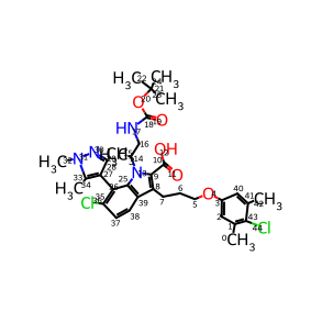 Cc1cc(OCCCc2c(C(=O)O)n(C(C)CNC(=O)OC(C)(C)C)c3c(-c4c(C)nn(C)c4C)c(Cl)ccc23)cc(C)c1Cl